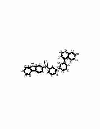 c1cc(Nc2ccc3c(c2)oc2ccccc23)cc(-c2cccc(-c3cccc4ccccc34)c2)c1